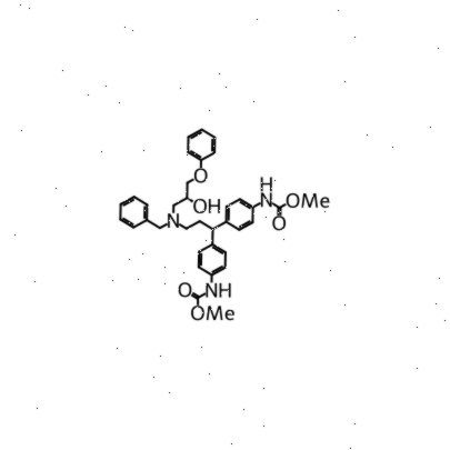 COC(=O)Nc1ccc(C(CCN(Cc2ccccc2)C[C@H](O)COc2ccccc2)c2ccc(NC(=O)OC)cc2)cc1